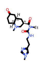 CCN(C(=O)NCCc1cn(C)cn1)C(=O)[C@@H]1C[C@@H]2CC(=O)CC[C@H]2N(C)C1